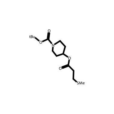 CSCCC(=O)OC1CCN(C(=O)OC(C)(C)C)CC1